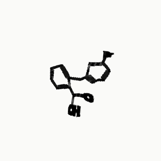 O=C(O)c1ccccc1-c1cccc(Br)c1